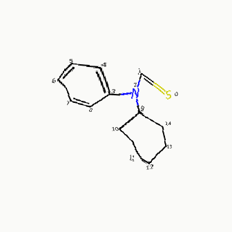 S=[C]N(c1ccccc1)C1CCCCC1